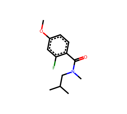 COc1ccc(C(=O)N(C)CC(C)C)c(F)c1